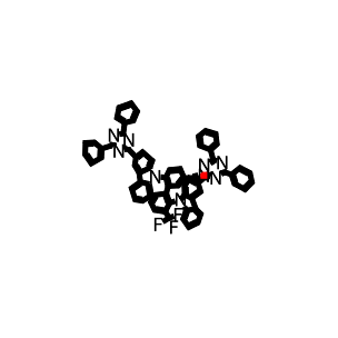 N#Cc1ccc(-n2c3ccccc3c3cc(-c4nc(-c5ccccc5)nc(-c5ccccc5)n4)ccc32)c(-c2cccc(C(F)(F)F)c2-n2c3ccccc3c3cc(-c4nc(-c5ccccc5)nc(-c5ccccc5)n4)ccc32)c1